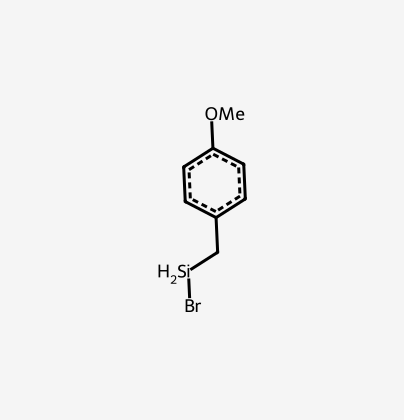 COc1ccc(C[SiH2]Br)cc1